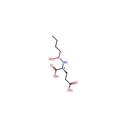 CCCCP(O)N[C@@H](CCC(=O)O)C(=O)O